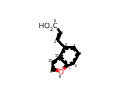 O=C(O)/C=C/c1cccc2occc12